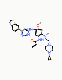 C=CC(=O)Nc1cc(Nc2cc(-c3ccc4ncsc4c3)ncn2)c(OC)cc1N(C)CCN1CCN(C2CC2)CC1